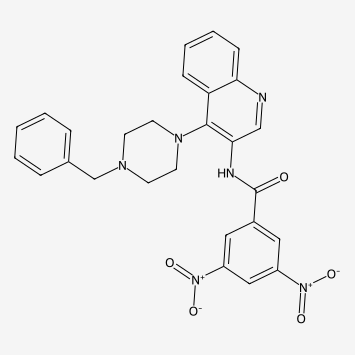 O=C(Nc1cnc2ccccc2c1N1CCN(Cc2ccccc2)CC1)c1cc([N+](=O)[O-])cc([N+](=O)[O-])c1